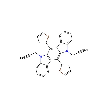 C#CCn1c2ccccc2c2c(-c3cccs3)c3c(c(-c4cccs4)c21)c1ccccc1n3CC#C